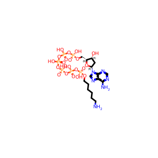 NCCCCCCOP(=O)(O)OP(=O)(O)OP(=O)(O)OP(=O)(O)OP(=O)(O)OP(=O)(O)OC[C@H]1O[C@@H](n2cnc3c(N)ncnc32)C[C@H]1O